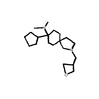 CN(C)C1(C2CCCC2)CCC2(CCN(CC3COC3)C2)CC1